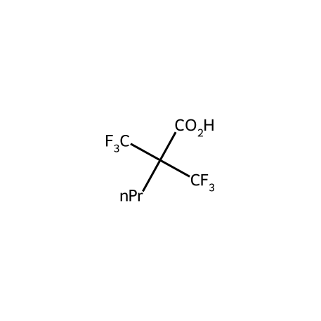 CCCC(C(=O)O)(C(F)(F)F)C(F)(F)F